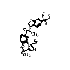 CN(C(=O)c1ccc2nc(N)c3cnc(Br)n3c2c1)[C@@H]1COc2cc(C(F)(F)F)ccc21